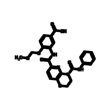 COCOc1ccc(C(=O)O)cc1NC(=O)c1ccc2c(n1)N(C(=O)Nc1ccccc1)CCO2